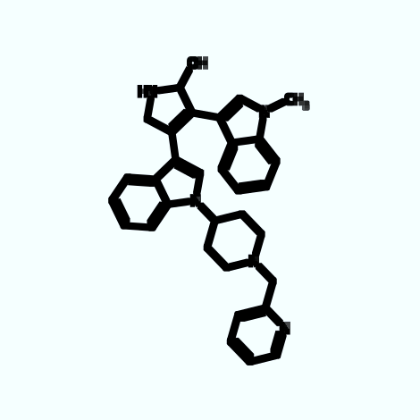 Cn1cc(C2=C(c3cn(C4CCN(Cc5ccccn5)CC4)c4ccccc34)CNC2O)c2ccccc21